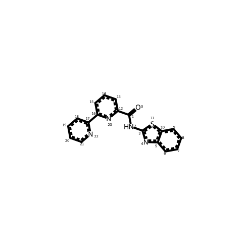 O=C(Nc1nc2ccccc2s1)c1cccc(-c2ccccn2)n1